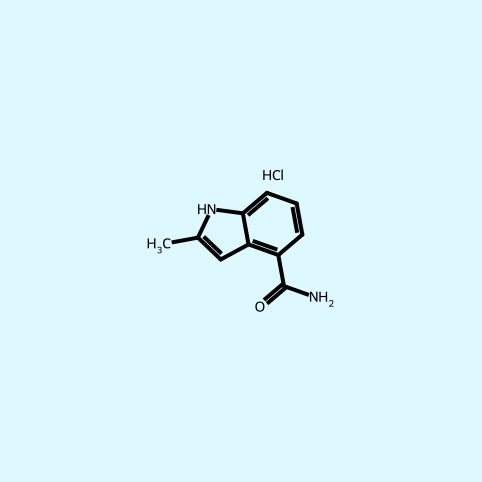 Cc1cc2c(C(N)=O)cccc2[nH]1.Cl